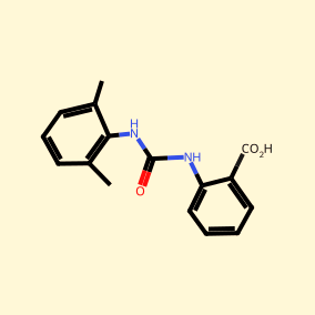 Cc1cccc(C)c1NC(=O)Nc1ccccc1C(=O)O